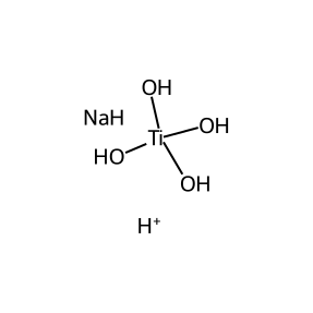 [H+].[NaH].[OH][Ti]([OH])([OH])[OH]